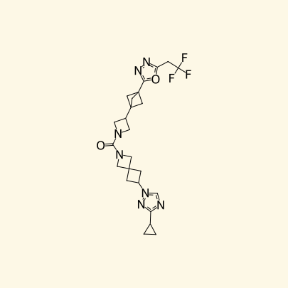 O=C(N1CC(C23CC(c4nnc(CC(F)(F)F)o4)(C2)C3)C1)N1CC2(CC(n3cnc(C4CC4)n3)C2)C1